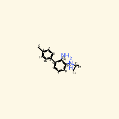 Cc1ccc(-c2cccc(NC(C)C)c2N)cc1